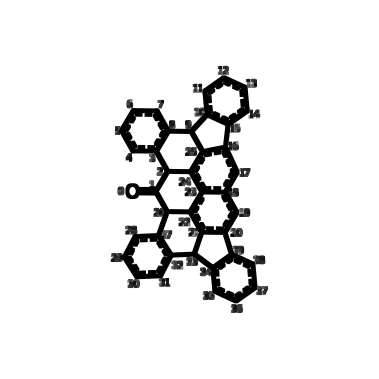 O=C1C2c3ccccc3C3c4ccccc4-c4cc5cc6c7c(c5c2c43)C1c1ccccc1C7c1ccccc1-6